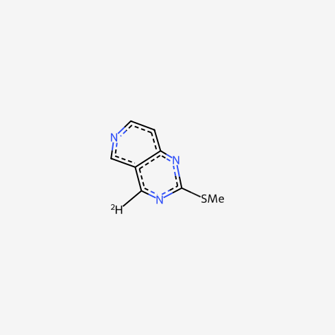 [2H]c1nc(SC)nc2ccncc12